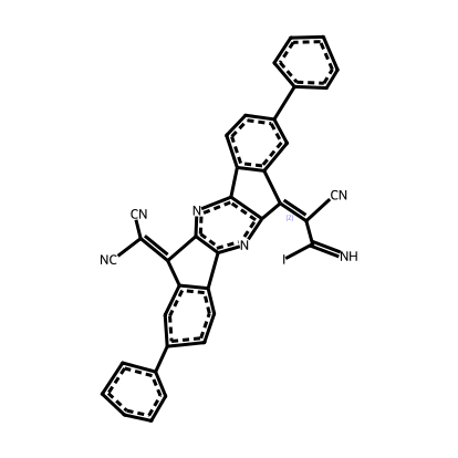 N#CC(C#N)=C1c2cc(-c3ccccc3)ccc2-c2nc3c(nc21)-c1ccc(-c2ccccc2)cc1/C3=C(\C#N)C(=N)I